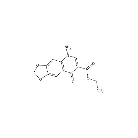 CCOC(=O)c1cn(N)c2cc3c(cc2c1=O)OCO3